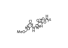 COCc1cc2c(Nc3cc([C@H]4OC[C@@H](OC(=O)NC5(C)CC5)[C@@H]4F)[nH]n3)nc(Cl)cn2n1